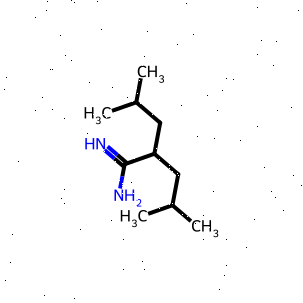 CC(C)CC(CC(C)C)C(=N)N